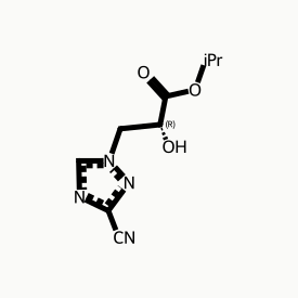 CC(C)OC(=O)[C@H](O)Cn1cnc(C#N)n1